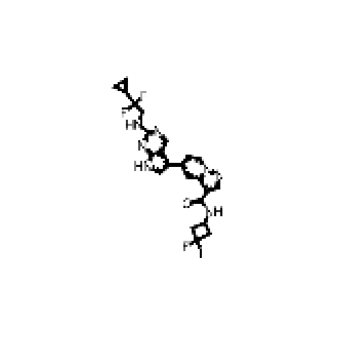 O=C(NC1CC(F)(F)C1)c1cnn2ccc(-c3c[nH]c4nc(NCC(F)(F)C5CC5)ncc34)cc12